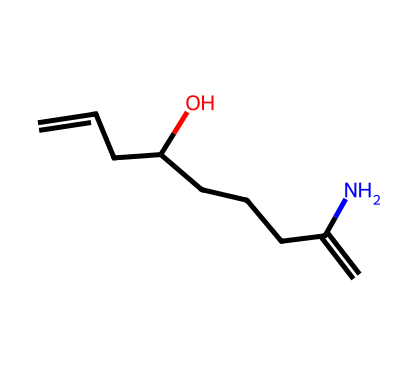 C=CCC(O)CCCC(=C)N